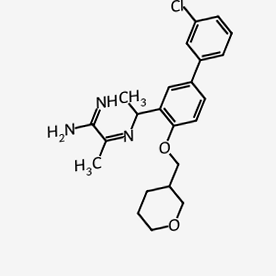 C/C(=N/C(C)c1cc(-c2cccc(Cl)c2)ccc1OCC1CCCOC1)C(=N)N